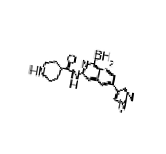 Bc1nc(NC(=O)C2CCNCC2)cc2cc(-c3cnn(C)c3)ccc12